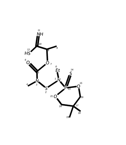 CCN(SN(C)C(=O)OC(C)C(=N)S)P1(=S)OCC(C)(C)CO1